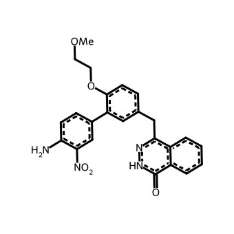 COCCOc1ccc(Cc2n[nH]c(=O)c3ccccc23)cc1-c1ccc(N)c([N+](=O)[O-])c1